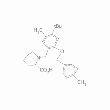 Cc1ccc(COc2cc(C(C)(C)C)c(C)cc2CN2CCCC[C@H]2C(=O)O)cc1